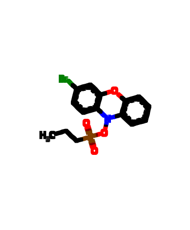 CCCS(=O)(=O)ON1c2ccccc2Oc2cc(Br)ccc21